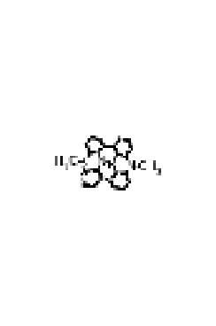 CB1c2cccc3c2N2B4c5c-3cccc5N(C)c3cccc(c34)-c3cccc1c32